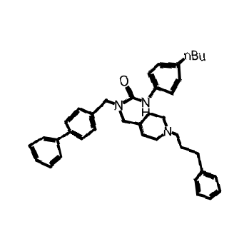 CCCCc1ccc(NC(=O)N(Cc2ccc(-c3ccccc3)cc2)CC2CCN(CCCc3ccccc3)CC2)cc1